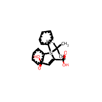 CC(C)(C)[Si](/C(=C\C(=O)O)C(=O)O)(c1ccccc1)c1ccccc1